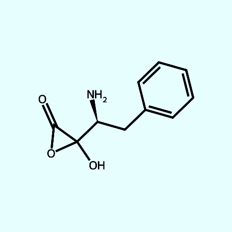 N[C@@H](Cc1ccccc1)C1(O)OC1=O